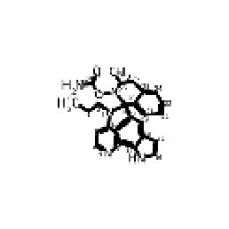 CCCN(c1ccncc1)C1(c2ccc3[nH]ccc3c2)c2ccccc2CC(C)N1OC(N)=O